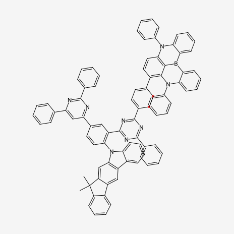 CC1(C)c2ccccc2-c2cc3c4ccccc4n(-c4ccc(-c5cc(-c6ccccc6)nc(-c6ccccc6)n5)cc4-c4nc(-c5ccccc5)nc(-c5ccc(-c6ccc7c8c6N(c6ccccc6)c6ccccc6B8c6ccccc6N7c6ccccc6)cc5)n4)c3cc21